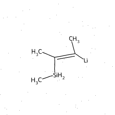 [Li][C](C)=C(C)[SiH2]C